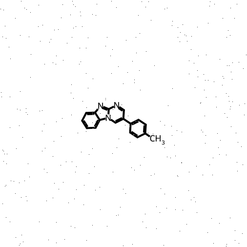 Cc1ccc(-c2cnc3nc4ccccc4n3c2)cc1